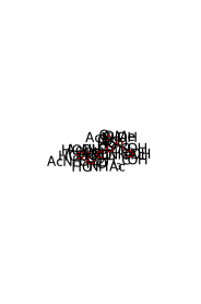 COS(=O)(=O)OCC1OC(OC2C(COC3OC(C)C(O)C(O)C3O)OC(O)C(NC(C)=O)C2O)C(NC(C)=O)C(O)C1OC1OC(CO)C(OC2OC(CO)C(OC3OC(CO)C(O)C(O)C3NC(C)=O)C(O)C2NC(C)=O)C(O)C1NC(C)=O